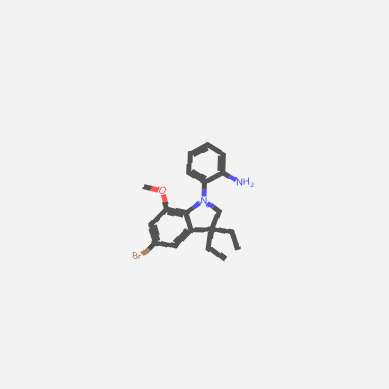 CCC1(CC)CN(c2ccccc2N)c2c(OC)cc(Br)cc21